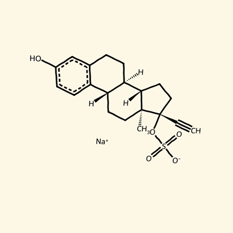 C#C[C@]1(OS(=O)(=O)[O-])CC[C@H]2[C@@H]3CCc4cc(O)ccc4[C@H]3CC[C@@]21C.[Na+]